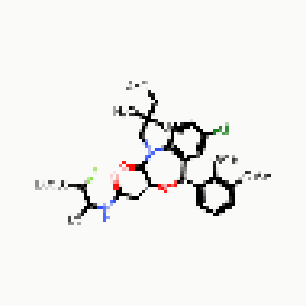 CCOC(=O)C(F)C(CC)NC(=O)C[C@H]1O[C@H](c2cccc(OC)c2OC)c2cc(Cl)ccc2N(CC(C)(C)COC(C)=O)C1=O